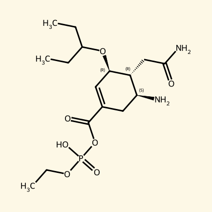 CCOP(=O)(O)OC(=O)C1=C[C@@H](OC(CC)CC)[C@H](CC(N)=O)[C@@H](N)C1